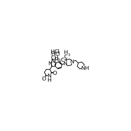 Cl.Cl.Cn1nc(C2CCC(=O)NC2=O)c2ccc(N3CCN(CC4CCNCC4)CC3(C)C)cc21